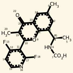 Cc1cc([C@@H](C)NC(=O)O)c2oc(-c3c(F)ccnc3F)c(C)c(=O)c2c1